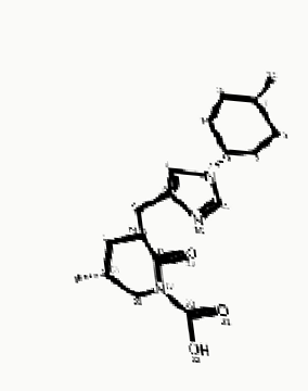 C[C@@H]1C[C@@H](Cc2cn([C@H]3CC[C@H](C)CC3)cn2)C(=O)N(C(=O)O)C1